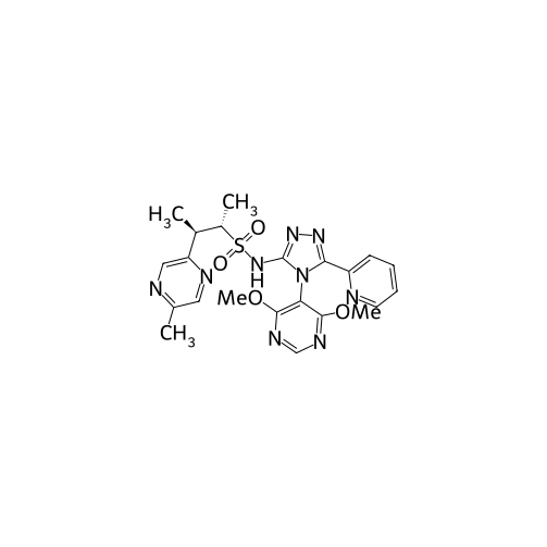 COc1ncnc(OC)c1-n1c(NS(=O)(=O)[C@@H](C)[C@H](C)c2cnc(C)cn2)nnc1-c1ccccn1